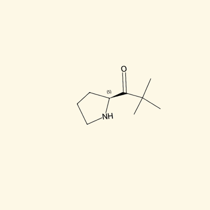 CC(C)(C)C(=O)[C@@H]1CCCN1